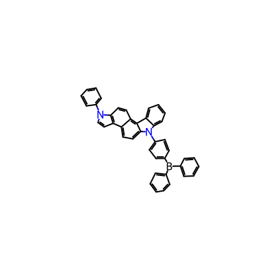 c1ccc(B(c2ccccc2)c2ccc(-n3c4ccccc4c4c5ccc6c(ccn6-c6ccccc6)c5ccc43)cc2)cc1